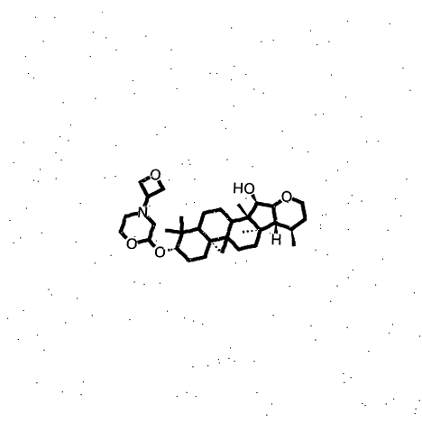 C[C@@H]1CCOC2[C@H]1[C@@]1(C)CCC34C[C@@]35CC[C@H](OC3CN(C6COC6)CCO3)C(C)(C)C5CCC4[C@]1(C)[C@H]2O